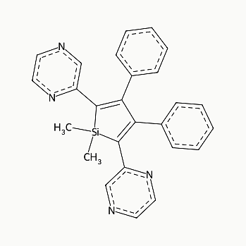 C[Si]1(C)C(c2cnccn2)=C(c2ccccc2)C(c2ccccc2)=C1c1cnccn1